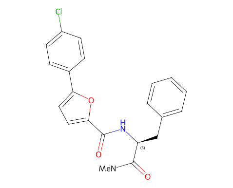 CNC(=O)[C@H](Cc1ccccc1)NC(=O)c1ccc(-c2ccc(Cl)cc2)o1